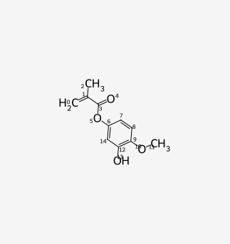 C=C(C)C(=O)Oc1ccc(OC)c(O)c1